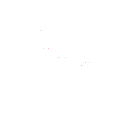 O=Cc1cccc(OCC(F)(F)F)n1